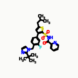 CC(C)Cc1cc(-c2ccc(Cn3ccnc3C(C)(C)C)c(F)c2)c(S(=O)(=O)NC(=O)c2ccccn2)s1